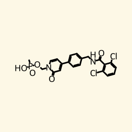 CP(=O)(O)OCn1ccc(-c2ccc(CNC(=O)c3c(Cl)cccc3Cl)cc2)cc1=O